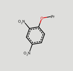 CC(C)Oc1ccc([N+](=O)[O-])cc1[N+](=O)[O-]